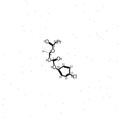 CC(C)C(=O)O[C@@H](C)OC(=O)Oc1ccc(Cl)cc1